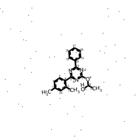 Cc1ccc(-c2nc(OC(C)O)nc(-c3ccccc3)n2)c(C)c1